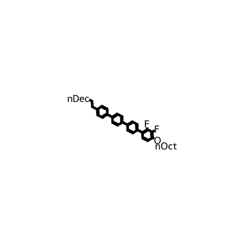 CCCCCCCCCCCCc1ccc(-c2ccc(-c3ccc(-c4ccc(OCCCCCCCC)c(F)c4F)cc3)cc2)cc1